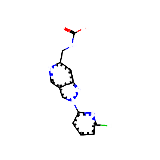 O=C(O)NCc1cc2nn(-c3cccc(Cl)n3)cc2cn1